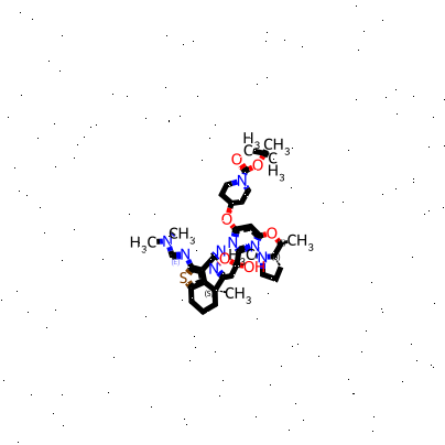 C[C@H](Oc1cc(OC2CCN(C(=O)OC(C)(C)C)CC2)nc(C2(O)CC([C@@]3(C)CCCc4sc(/N=C/N(C)C)c(C#N)c43)=NO2)n1)[C@@H]1CCCN1C